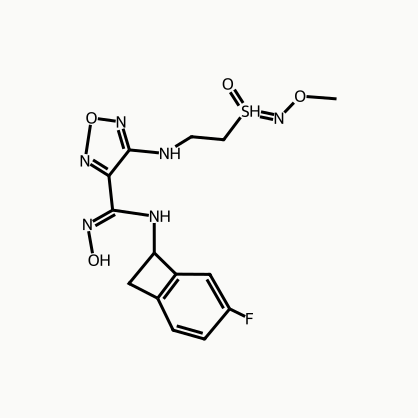 CO/N=[SH](=O)/CCNc1nonc1/C(=N/O)NC1Cc2ccc(F)cc21